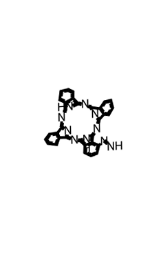 N=Nc1cccc2c3nc4nc(nc5[nH]c(nc6nc(nc([nH]3)c12)-c1ccccc1-6)c1ccccc51)-c1ccccc1-4